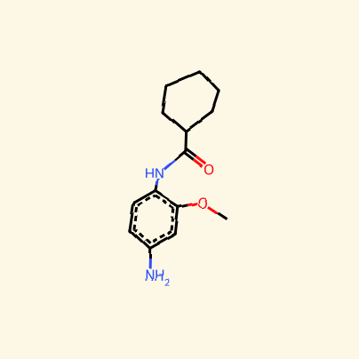 COc1cc(N)ccc1NC(=O)C1CCCCC1